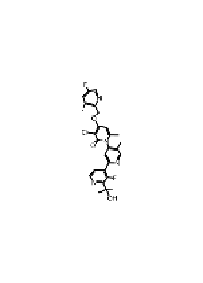 Cc1cnc(-c2ccnc(C(C)(C)O)c2F)cc1-n1c(C)cc(OCc2ncc(F)cc2F)c(Cl)c1=O